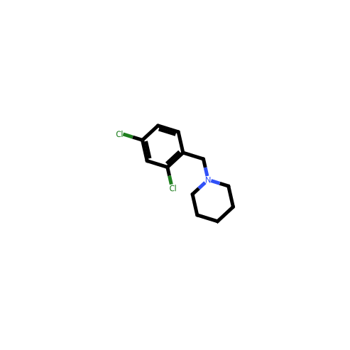 Clc1ccc(CN2CC[CH]CC2)c(Cl)c1